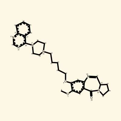 COc1cc2c(cc1OCCCCCN1CCN(c3ncnc4ccccc34)CC1)N=CC1CCCN1C2=O